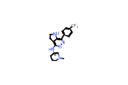 CN1CCC[C@@H](Nc2nnc(-c3ccc(C(F)(F)F)cc3)c3c2CCN3)C1